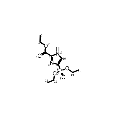 CCOC(=O)c1nc(P(=O)(OCC)OCC)c[nH]1